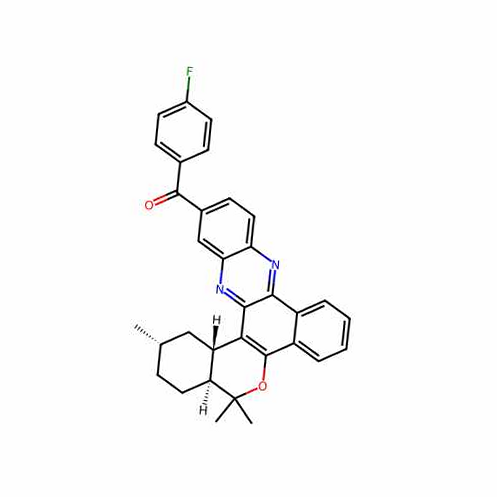 C[C@H]1CC[C@H]2[C@H](C1)c1c(c3ccccc3c3nc4ccc(C(=O)c5ccc(F)cc5)cc4nc13)OC2(C)C